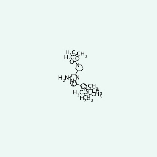 CC(C)[Si](C(C)C)(C(C)C)n1ccc(-c2cnn3c(N)cc(C4CCCN(C(=O)OC(C)(C)C)C4)nc23)c1